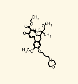 CCOC(=O)c1cn2c(cc1=O)-c1cc(OC)c(OCCCN3CCOCC3)cc1CC2C(C)(C)COC